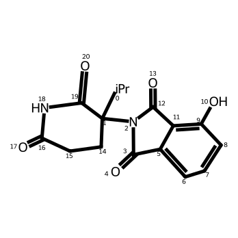 CC(C)C1(N2C(=O)c3cccc(O)c3C2=O)CCC(=O)NC1=O